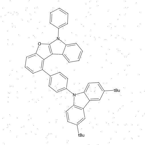 CC(C)(C)c1ccc2c(c1)c1cc(C(C)(C)C)ccc1n2-c1ccc(-c2cccc3oc4c(c5ccccc5n4-c4ccccc4)c23)cc1